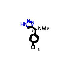 CN[C@H](c1ccc(C)cc1)c1c[nH]nn1